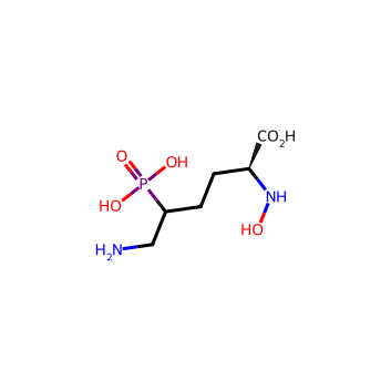 NCC(CC[C@H](NO)C(=O)O)P(=O)(O)O